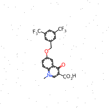 Cn1cc(C(=O)O)c(=O)c2cc(OCc3cc(C(F)(F)F)cc(C(F)(F)F)c3)ccc21